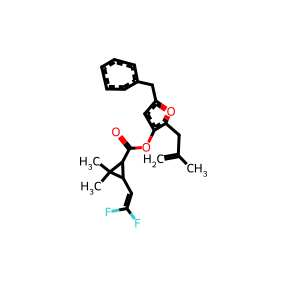 C=C(C)Cc1oc(Cc2ccccc2)cc1OC(=O)C1C(C=C(F)F)C1(C)C